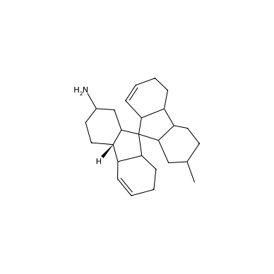 CC1CCC2C3CCC=CC3C3(C2C1)C1CCC=CC1[C@@H]1CCC(N)CC13